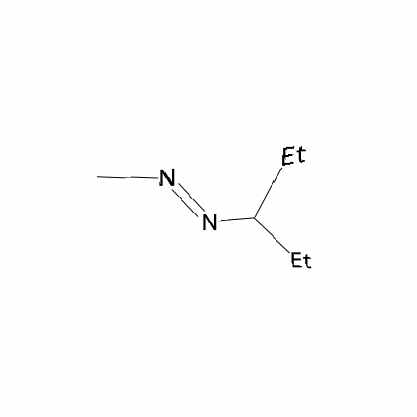 CCC(CC)N=NC